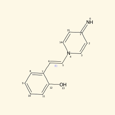 N=c1ccn(/C=C/c2ccccc2O)cc1